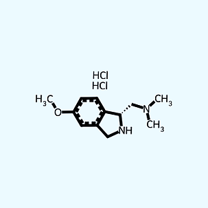 COc1ccc2c(c1)CN[C@H]2CN(C)C.Cl.Cl